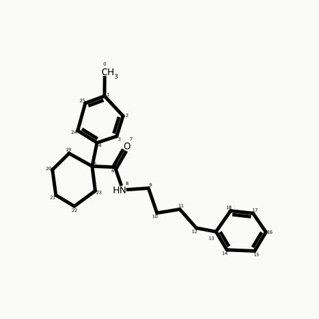 Cc1ccc(C2(C(=O)NCCCCc3ccccc3)CCCCC2)cc1